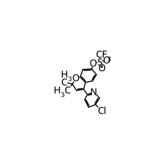 CC1(C)C=C(c2ccc(Cl)cn2)c2ccc(OS(=O)(=O)C(F)(F)F)cc2O1